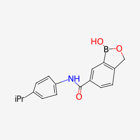 CC(C)c1ccc(NC(=O)c2ccc3c(c2)B(O)OC3)cc1